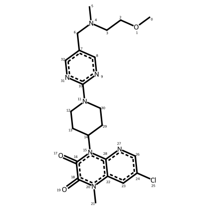 COCCN(C)Cc1cnc(N2CCC(n3c(=O)c(=O)n(C)c4cc(Cl)cnc43)CC2)nc1